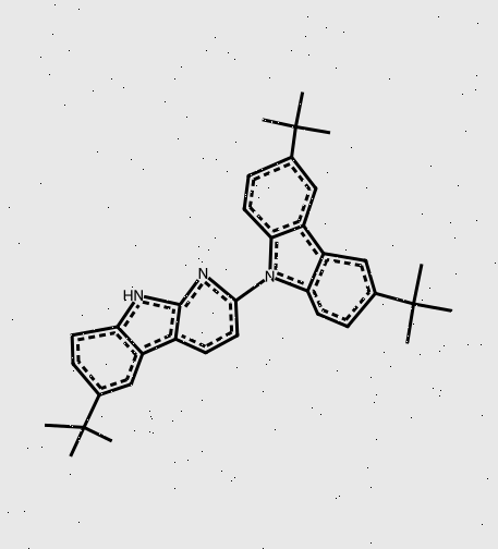 CC(C)(C)c1ccc2[nH]c3nc(-n4c5ccc(C(C)(C)C)cc5c5cc(C(C)(C)C)ccc54)ccc3c2c1